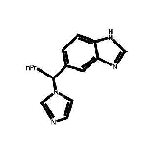 CCCC(c1ccc2[nH][c]nc2c1)n1ccnc1